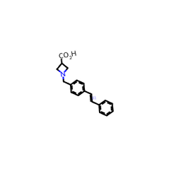 O=C(O)C1CN(Cc2ccc(/C=C/c3ccccc3)cc2)C1